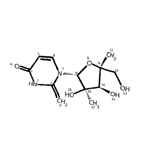 C=C1NC(=O)C=CN1[C@@H]1O[C@](C)(CO)[C@@H](O)[C@@]1(C)O